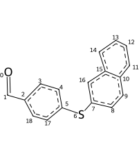 O=Cc1ccc(Sc2ccc3ccccc3c2)cc1